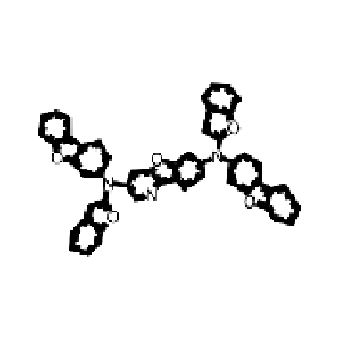 c1ccc2oc(N(c3ccc4c(c3)oc3ccccc34)c3ccc4c(c3)oc3cc(N(c5ccc6c(c5)oc5ccccc56)c5cc6ccccc6o5)cnc34)cc2c1